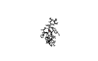 CC(C)C(=O)NC[C@]1(O)C2CC1C[C@@H](S(=O)(=O)c1cc(C(=O)Nc3cc(F)c(F)c(F)c3)ccc1Cl)C2